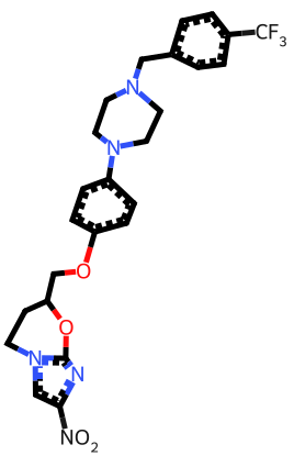 O=[N+]([O-])c1cn2c(n1)OC(COc1ccc(N3CCN(Cc4ccc(C(F)(F)F)cc4)CC3)cc1)CC2